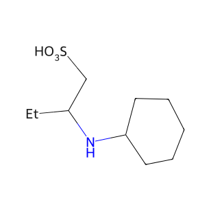 CCC(CS(=O)(=O)O)NC1CCCCC1